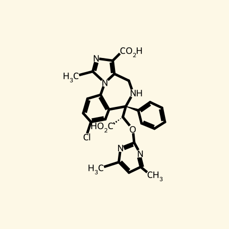 Cc1cc(C)nc(O[C@H](C(=O)O)[C@@]2(c3ccccc3)NCc3c(C(=O)O)nc(C)n3-c3ccc(Cl)cc32)n1